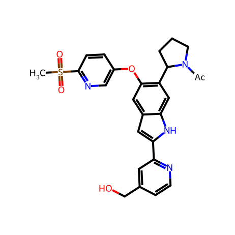 CC(=O)N1CCCC1c1cc2[nH]c(-c3cc(CO)ccn3)cc2cc1Oc1ccc(S(C)(=O)=O)nc1